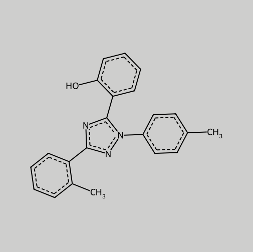 Cc1ccc(-n2nc(-c3ccccc3C)nc2-c2ccccc2O)cc1